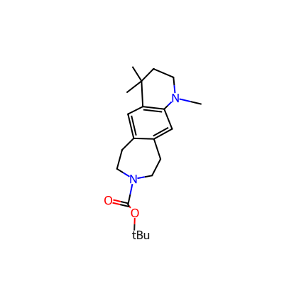 CN1CCC(C)(C)c2cc3c(cc21)CCN(C(=O)OC(C)(C)C)CC3